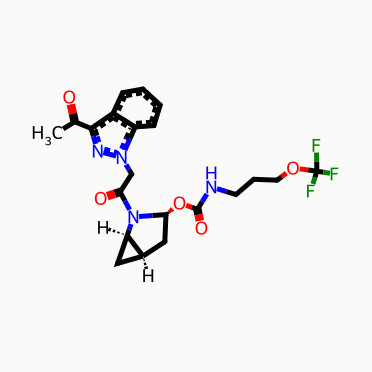 CC(=O)c1nn(CC(=O)N2[C@@H](OC(=O)NCCCOC(F)(F)F)C[C@H]3C[C@H]32)c2ccccc12